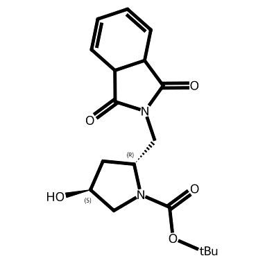 CC(C)(C)OC(=O)N1C[C@@H](O)C[C@@H]1CN1C(=O)C2C=CC=CC2C1=O